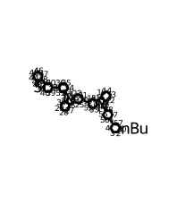 CCCCc1cccc(-c2ccc(-n3c4ccccc4c4cc(-c5ccc6c(c5)c5ccccc5n6-c5cccc(-c6ccc7sc8ccccc8c7c6)c5)ccc43)cc2)c1